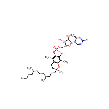 C=C1N=C(N)N=CN1[C@@H]1O[C@H](COP(=O)(O)Oc2c(C)c(C)c3c(c2C)CCC(C)(CCCC(C)CCCC(C)CCCC(C)C)O3)[C@H](O)C1O